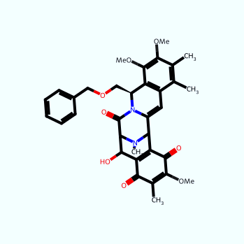 COC1=C(C)C(=O)C2=C(C1=O)C1C3=Cc4c(C)c(C)c(OC)c(OC)c4[C@H](COCc4ccccc4)N3C(=O)C(C2O)N1C